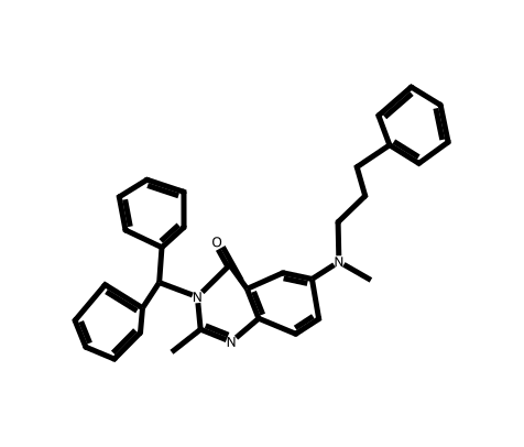 Cc1nc2ccc(N(C)CCCc3ccccc3)cc2c(=O)n1C(c1ccccc1)c1ccccc1